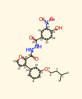 CC(C)CCOc1cccc(-c2ccoc2C(=O)NNC(=O)c2ccc(O)c([N+](=O)[O-])c2)c1